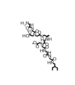 C=C(CNC(=O)CN(C[C@@H](O)OC)C(=O)CNC(=O)CN)NCC(=O)N(CC(=O)NCC(=O)NCC(=O)NCC(CC)CC)CC(=O)OC